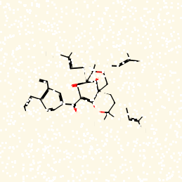 C=Cc1cc(C(=O)C2=C3OC(C)(C)[C@@H](CC=C(C)C)C[C@@]34C[C@@H](CC=C(C)C)C(C)(C)[C@@](CC=C(C)C)(C2=O)C4=O)ccc1/C=C\C